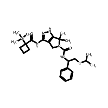 CC(C)OCC(NC(=O)N1Cc2c(NC(=O)C3([Si](C)(C)C)CCC3)n[nH]c2C1(C)C)c1ccccc1